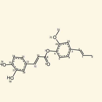 C/C=C/c1ccc(OC(=O)/C=C/c2ccc(O)c(O)c2)c(OC)c1